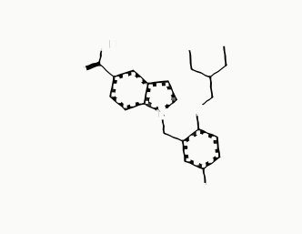 CCC(CC)COc1ccc(Cl)cc1Cn1ccc2cc(C(=O)O)ccc21